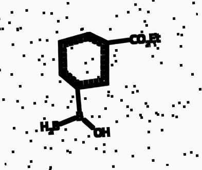 BB(O)c1cccc(C(=O)OCC)c1